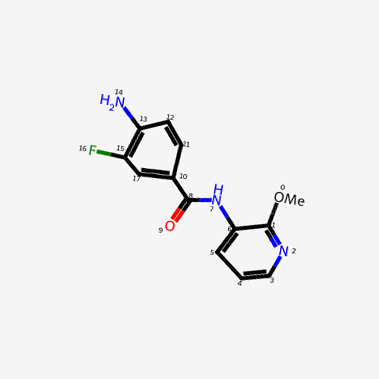 COc1ncccc1NC(=O)c1ccc(N)c(F)c1